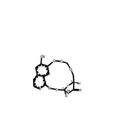 N#Cc1cc2ccnc3c2cc1OCCOC[C@H]1C[C@@H](CO3)NC1=O